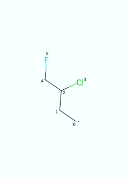 [CH2]CC(Cl)CF